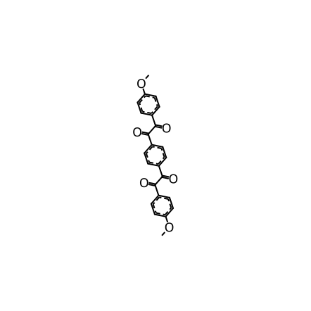 COc1ccc(C(=O)C(=O)c2ccc(C(=O)C(=O)c3ccc(OC)cc3)cc2)cc1